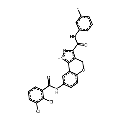 O=C(Nc1ccc2c(c1)-c1[nH]nc(C(=O)Nc3cccc(F)c3)c1CO2)c1cccc(Cl)c1Cl